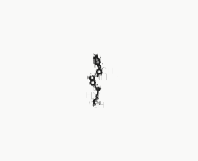 Cc1cc(Nc2ncnc3ccc(-n4ccc(CNCCS(C)(=O)=O)c4)cc23)ccc1Oc1cc2nncn2cn1